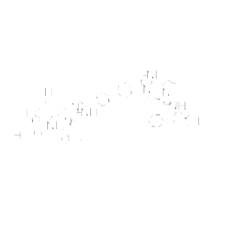 COC(=O)N[C@H](C(=O)N1CC2(C[C@H]1c1ncc(-c3ccc(-c4ccc(-c5c[nH]c([C@@H]6C=CCN6C(=O)[C@H](NC(=O)OC)c6ccccc6)n5)cc4)cc3)[nH]1)OCCO2)C(C)C